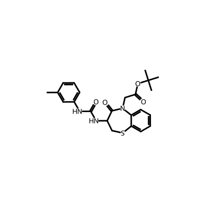 Cc1cccc(NC(=O)NC2CSc3ccccc3N(CC(=O)OC(C)(C)C)C2=O)c1